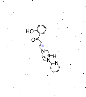 O=C(/C=C/N1C[C@H]2C=C1CN2c1ccccn1)c1ccccc1O